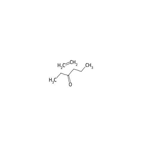 C=C.CCCC(=O)CC